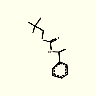 CC(NC(=O)OCC(C)(C)C)c1ccccc1